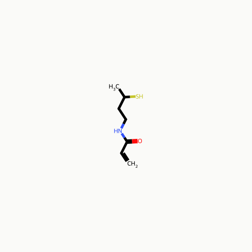 C=CC(=O)NCCC(C)S